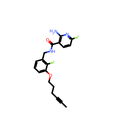 CC#CCCCOc1cccc(CNC(=O)c2ccc(F)nc2N)c1F